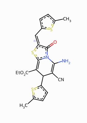 CCOC(=O)C1=c2s/c(=C/c3ccc(C)s3)c(=O)n2C(N)=C(C#N)C1c1ccc(C)s1